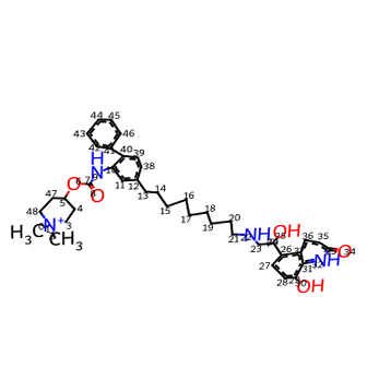 C[N+]1(C)CCC(OC(=O)Nc2cc(CCCCCCCCCNC[C@H](O)c3ccc(O)c4[nH]c(=O)ccc34)ccc2-c2ccccc2)CC1